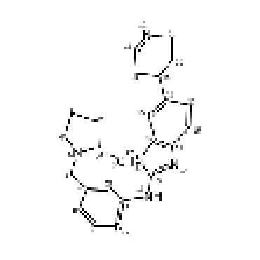 C[C@H]1CCCN1Cc1ccnc(Nc2nc3ccc(C4C=CN=CC4)cc3s2)c1